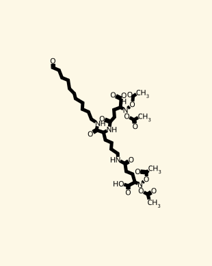 CC(=O)ON(OC(C)=O)C(CCC(=O)NCCCCC(NC(=O)CCC(C(=O)O)N(OC(C)=O)OC(C)=O)C(=O)NCCCCCCCCCCC=O)C(=O)O